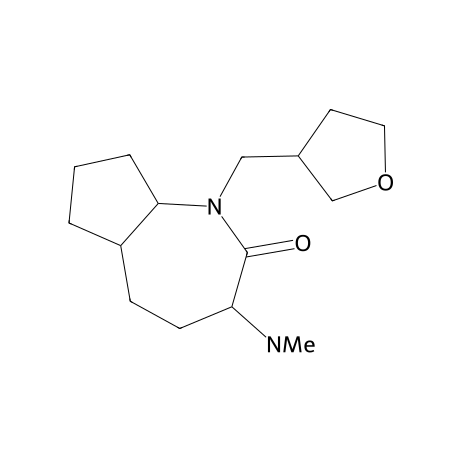 CNC1CCC2CCCC2N(CC2CCOC2)C1=O